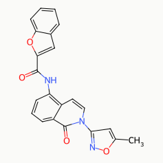 Cc1cc(-n2ccc3c(NC(=O)c4cc5ccccc5o4)cccc3c2=O)no1